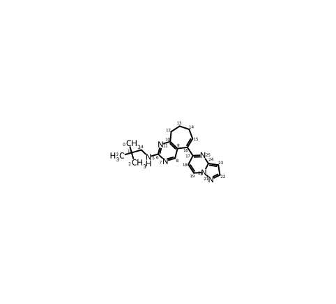 CC(C)(C)CNc1ncc2c(n1)CCCC=C2c1ccn2nccc2n1